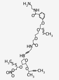 CC#CC(C)OCC1O[C@@H](BC#CCNC(=O)COCCOC(COc2cccc(C(=O)NCCN)c2)SSC)C[C@H]1O[C@@H](CO[N+](=O)[O-])SSC